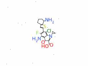 Nc1c(F)c(-c2cc3c(s2)C(N)CCC3)c(Cl)c2c1c(=O)c(C(=O)O)cn2C1CC1